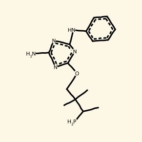 CC(P)C(C)(C)COc1nc(N)nc(Nc2ccccc2)n1